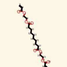 C=CC(=O)OCCOC(=O)CCCCCCCCC(=O)OCCOC(=O)C=C